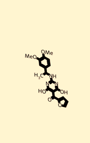 COc1ccc(C(C)Nc2nc(O)c(C(=O)c3ccco3)c(O)n2)cc1OC